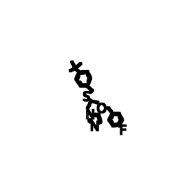 CC(C)(C)c1ccc(CSC(COCc2ccc(F)cc2)Cn2ccnc2)cc1